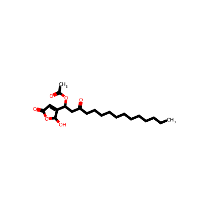 CCCCCCCCCCCCC(=O)CC(OC(C)=O)C1=CC(=O)OC1O